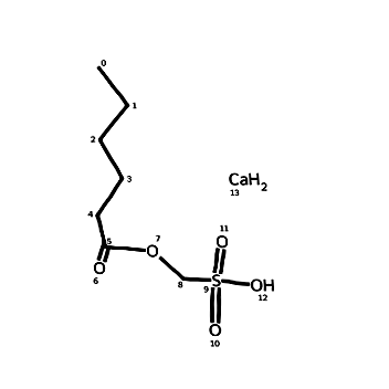 CCCCCC(=O)OCS(=O)(=O)O.[CaH2]